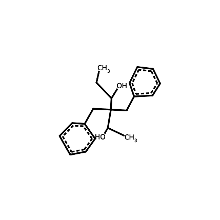 CCC(O)C(Cc1ccccc1)(Cc1ccccc1)C(C)O